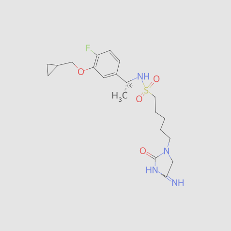 C[C@@H](NS(=O)(=O)CCCCCN1CC(=N)NC1=O)c1ccc(F)c(OCC2CC2)c1